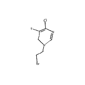 FC1=C(Cl)N=CN(CCBr)C1